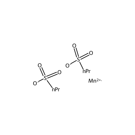 CCCS(=O)(=O)[O-].CCCS(=O)(=O)[O-].[Mn+2]